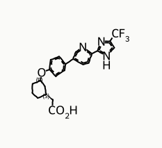 O=C(O)C[C@H]1CCC[C@@H](Oc2ccc(-c3ccc(-c4nc(C(F)(F)F)c[nH]4)nc3)cc2)C1